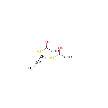 O=C([O-])C(O)S.O=C([O-])C(O)S.[CH3][Sn+2][CH3]